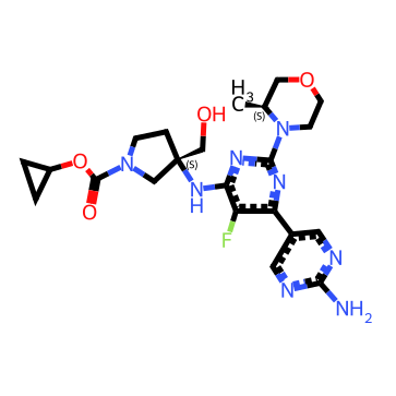 C[C@H]1COCCN1c1nc(N[C@@]2(CO)CCN(C(=O)OC3CC3)C2)c(F)c(-c2cnc(N)nc2)n1